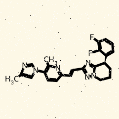 Cc1cn(-c2ccc(/C=C/c3nc4n(n3)CCC[C@@H]4c3cccc(F)c3F)nc2C)cn1